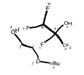 CCCCOCCO.OC(F)(C(F)F)C(F)(F)F